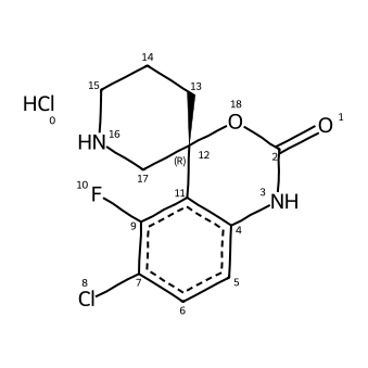 Cl.O=C1Nc2ccc(Cl)c(F)c2[C@@]2(CCCNC2)O1